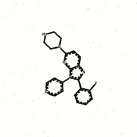 Fc1ccccc1-c1nc2ccc(N3CCNCC3)nc2n1-c1ccncc1